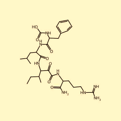 CCC(C)C(NC(=O)C(CC(C)C)NC(=O)C(Cc1ccccc1)NC(=O)O)C(=O)C(=O)NC(CCCNC(=N)N)C(N)=O